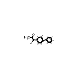 CC(=O)C(F)c1ccc(-c2ccccc2)cc1